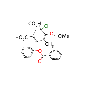 COCOC1=C(C)C=C(C(=O)O)CC1(Cl)C(=O)O.O=C(Oc1ccccc1)c1ccccc1